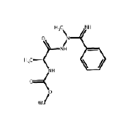 C[C@H](NC(=O)OC(C)(C)C)C(=O)NN(C)C(=N)c1ccccc1